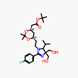 CC(C)C1N(CC[C@@H]2C[C@H](CC(=O)OC(C)(C)C)OC(C)(C)O2)C(c2ccc(F)cc2)=NC1(CO)CO